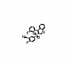 N#Cc1cc(S(=O)(=O)c2cnc3ccccc3c2-c2cccc(F)c2)ccc1F